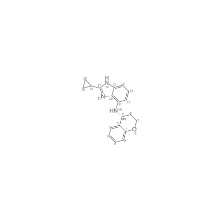 c1ccc2c(c1)OCC[C@H]2Nc1cccc2[nH]c(C3CC3)nc12